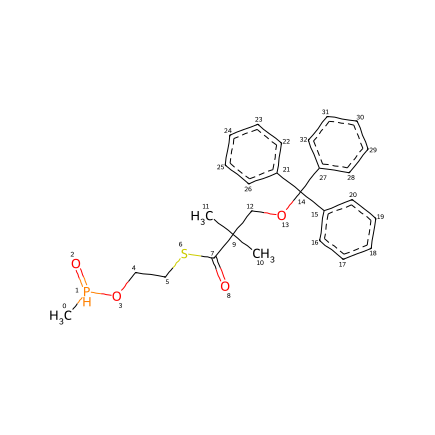 C[PH](=O)OCCSC(=O)C(C)(C)COC(c1ccccc1)(c1ccccc1)c1ccccc1